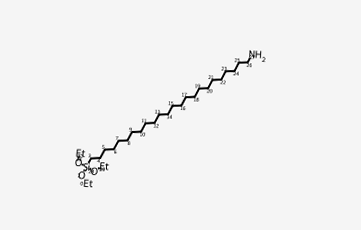 CCO[Si](CCCCCCCCCCCCCCCCCCCCCCCCN)(OCC)OCC